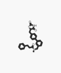 CN(Cc1cccc(-c2ccc(CC3SC(=O)NC3=O)cc2)c1)C(=O)CCc1ccccc1